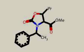 COC(=O)C1C(C(C)C)OC(=O)N1C(C)c1ccccc1